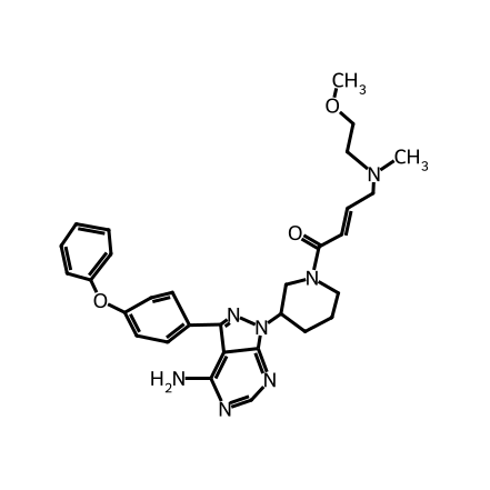 COCCN(C)CC=CC(=O)N1CCCC(n2nc(-c3ccc(Oc4ccccc4)cc3)c3c(N)ncnc32)C1